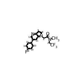 CN(CC(F)(F)F)C(=O)Cn1ccc2ncc(-c3ccc(F)cc3)cc21